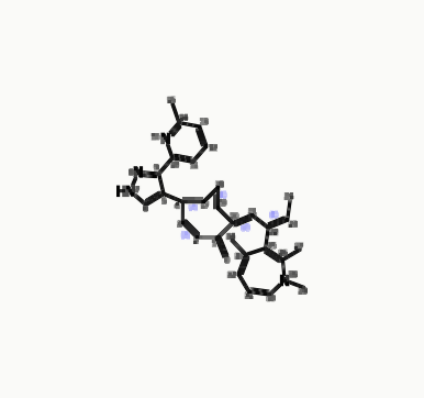 C=C1\C=C/C(c2c[nH]nc2-c2cccc(C)n2)=C/C=C/C1=C/C(=C\C)C1=C(C)N(C)C=CC=C1C